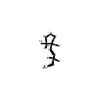 CC(C)(C=O)/C=C/C1(C)CCCC1(C)C